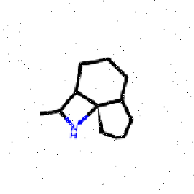 CC1N[C@@]23CCCCC2CCCC13